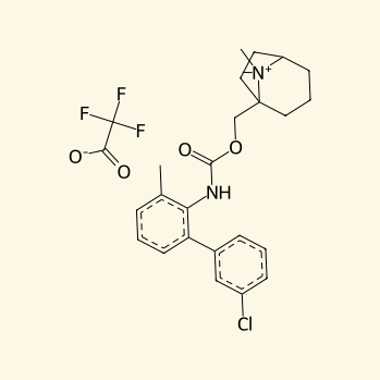 Cc1cccc(-c2cccc(Cl)c2)c1NC(=O)OCC12CCCC(CC1)[N+]2(C)C.O=C([O-])C(F)(F)F